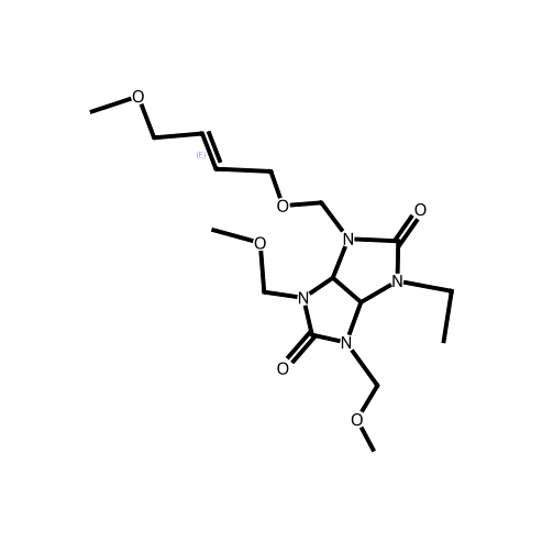 CCN1C(=O)N(COC/C=C/COC)C2C1N(COC)C(=O)N2COC